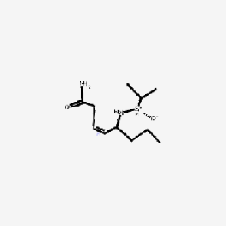 CCCC(/C=C\CC(N)=O)N[S@@+]([O-])C(C)C